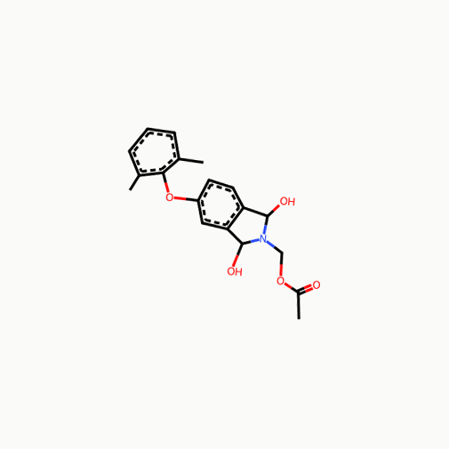 CC(=O)OCN1C(O)c2ccc(Oc3c(C)cccc3C)cc2C1O